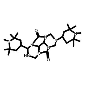 CN1C(C)(C)CC(C2NCN3C(=O)N4CN(C5CC(C)(C)N(C)C(C)(C)C5)CN5C(=O)N2C3C45)CC1(C)C